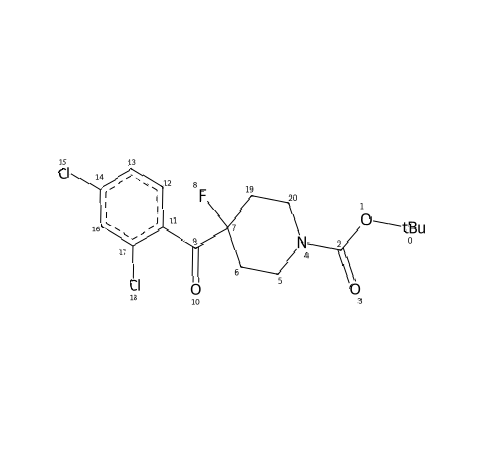 CC(C)(C)OC(=O)N1CCC(F)(C(=O)c2ccc(Cl)cc2Cl)CC1